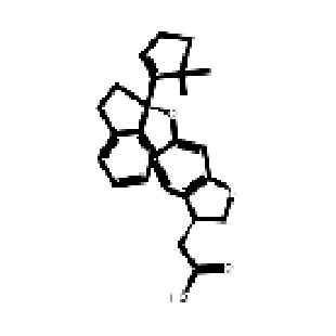 CC1(C)CCC=C1[C@@]1(Oc2ccc3c(c2)OC[C@H]3CC(=O)O)CCc2ccccc21